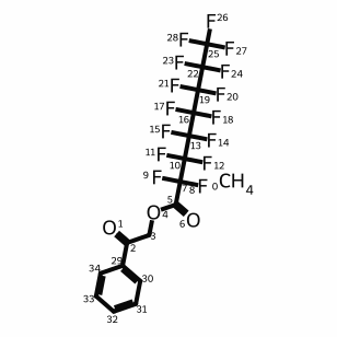 C.O=C(COC(=O)C(F)(F)C(F)(F)C(F)(F)C(F)(F)C(F)(F)C(F)(F)C(F)(F)F)c1ccccc1